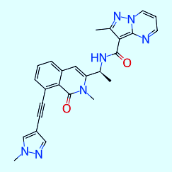 Cc1nn2cccnc2c1C(=O)N[C@@H](C)c1cc2cccc(C#Cc3cnn(C)c3)c2c(=O)n1C